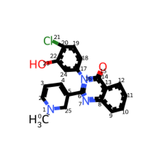 CN1C=CC=C(c2nc3ccccc3c(=O)n2-c2ccc(Cl)c(O)c2)C1